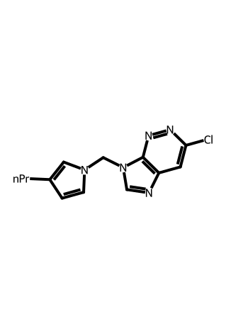 CCCc1ccn(Cn2cnc3cc(Cl)nnc32)c1